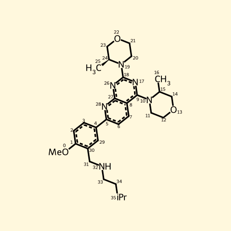 COc1ccc(-c2ccc3c(N4CCOCC4C)nc(N4CCOC[C@@H]4C)nc3n2)cc1CNCCC(C)C